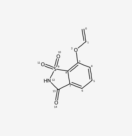 C=COc1cccc2c1S(=O)(=O)NC2=O